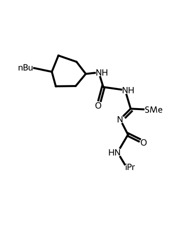 CCCCC1CCC(NC(=O)NC(=NC(=O)NC(C)C)SC)CC1